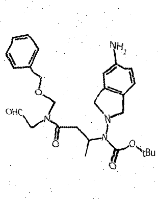 CC(CC(=O)N(CC=O)COCc1ccccc1)N(C(=O)OC(C)(C)C)N1Cc2ccc(N)cc2C1